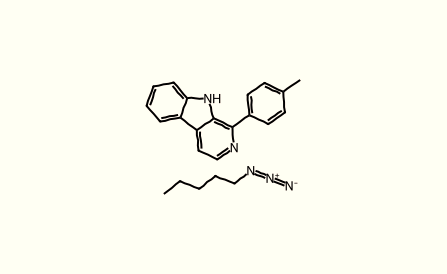 CCCCCN=[N+]=[N-].Cc1ccc(-c2nccc3c2[nH]c2ccccc23)cc1